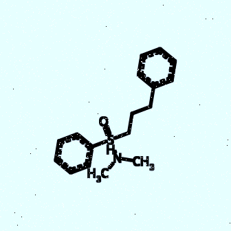 CN(C)[SH](=O)(CCCc1ccccc1)c1ccccc1